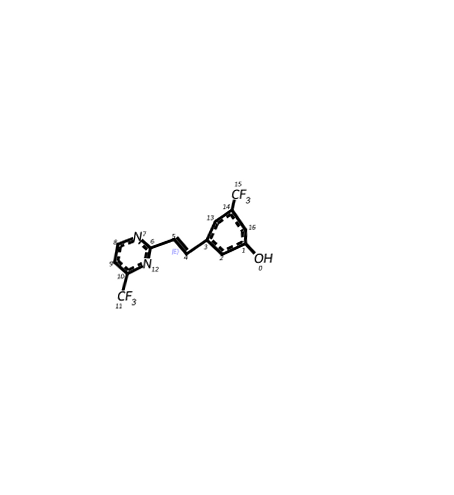 Oc1cc(/C=C/c2nccc(C(F)(F)F)n2)cc(C(F)(F)F)c1